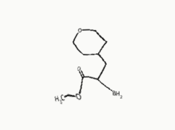 BC(CC1CCOCC1)C(=O)OC